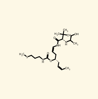 C/C=C\C[C@@H](C/C=C\NC(=O)[C@@H](NC(C)CO)C(C)(C)C)OC(=O)NCCCSC